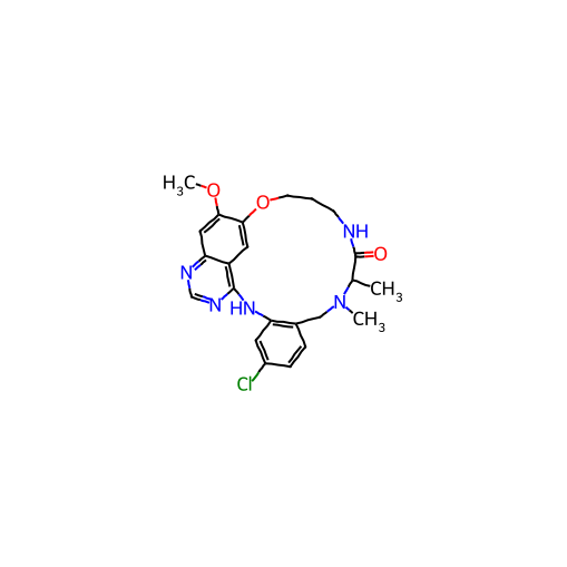 COc1cc2ncnc3c2cc1OCCCNC(=O)C(C)N(C)Cc1ccc(Cl)cc1N3